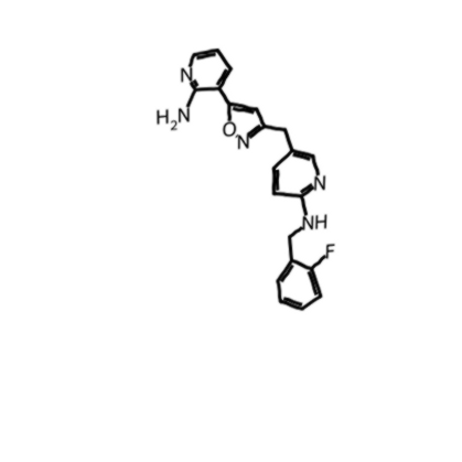 Nc1ncccc1-c1cc(Cc2ccc(NCc3ccccc3F)nc2)no1